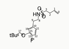 C=CCCS(=O)(=O)NCCc1ccc(F)c(OCC(C)(C)C)c1